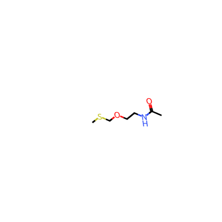 CSCOCCNC(C)=O